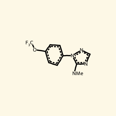 CNc1ncnn1-c1ccc(OC(F)(F)F)cc1